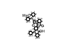 COc1ccccc1N(C1=CC2Oc3cc(N(c4ccccc4)c4ccccc4CO)ccc3C3(OC(=O)c4ccccc43)C2C=C1)c1ccccc1